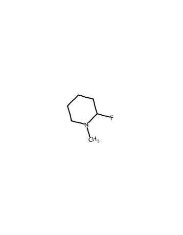 CN1CC[CH]CC1F